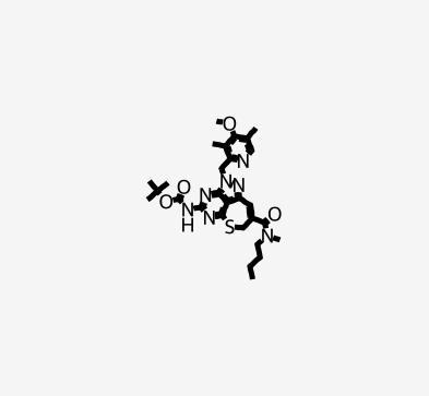 CCCCN(C)C(=O)C1=Cc2nn(Cc3ncc(C)c(OC)c3C)c3nc(NC(=O)OC(C)(C)C)nc(c23)SC1